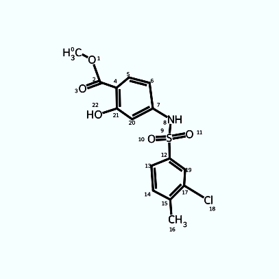 COC(=O)c1ccc(NS(=O)(=O)c2ccc(C)c(Cl)c2)cc1O